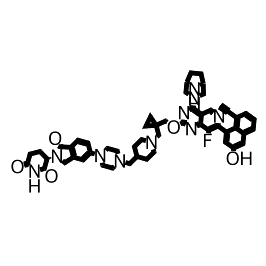 C#Cc1cccc2cc(O)cc(-c3ncc4c(N5CC6CCC(C5)N6)nc(OCC5(CN6CCC(CN7CCN(c8ccc9c(c8)CN([C@H]8CCC(=O)NC8=O)C9=O)CC7)CC6)CC5)nc4c3F)c12